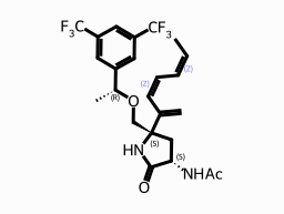 C=C(/C=C\C=C/C)[C@]1(CO[C@H](C)c2cc(C(F)(F)F)cc(C(F)(F)F)c2)C[C@H](NC(C)=O)C(=O)N1